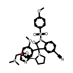 COc1ccc(S(=O)(=O)N2C(=O)C(c3ccc(CN(C)C)cc3OC)(N3CCC[C@H]3c3ncco3)c3cc(C#N)ccc32)cc1